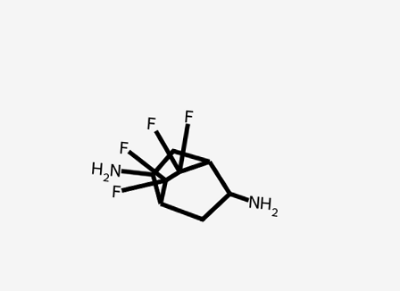 NC1CC2C(N)CC1C(F)(F)C2(F)F